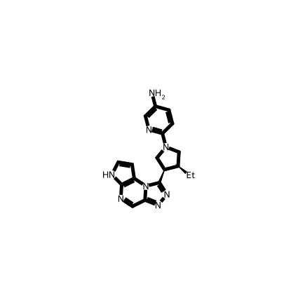 CC[C@@H]1CN(c2ccc(N)cn2)C[C@@H]1c1nnc2cnc3[nH]ccc3n12